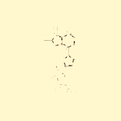 Cc1cc2c(-c3ccc(S(=O)(=O)N[C@H](C)CO)s3)ccnc2[nH]1